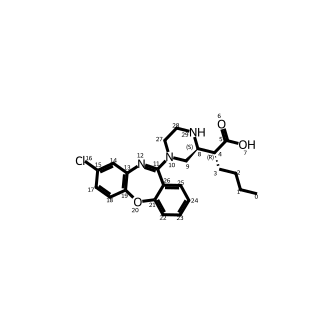 CCCC[C@@H](C(=O)O)[C@H]1CN(C2=Nc3cc(Cl)ccc3Oc3ccccc32)CCN1